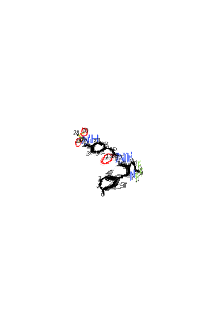 Cc1cccc(-c2nc(C(F)(F)F)ccc2CNC(=O)Cc2ccc(CNS(C)(=O)=O)cc2)c1